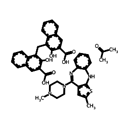 CC(C)=O.Cc1cc2c(s1)Nc1ccccc1N=C2N1CCN(C)CC1.O=C(O)c1cc2ccccc2c(Cc2c(O)c(C(=O)O)cc3ccccc23)c1O